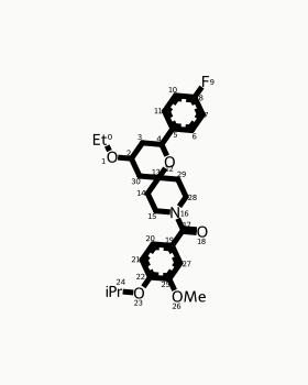 CCOC1CC(c2ccc(F)cc2)OC2(CCN(C(=O)c3ccc(OC(C)C)c(OC)c3)CC2)C1